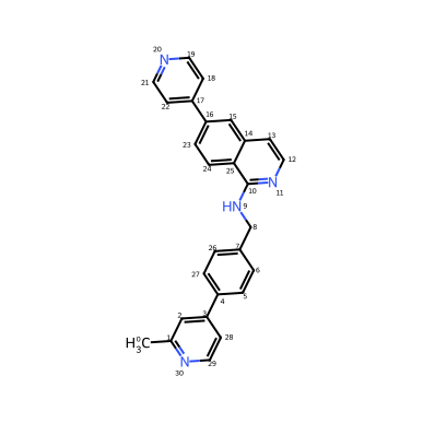 Cc1cc(-c2ccc(CNc3nccc4cc(-c5ccncc5)ccc34)cc2)ccn1